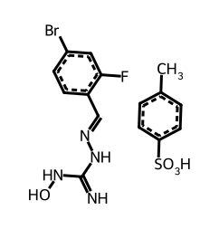 Cc1ccc(S(=O)(=O)O)cc1.N=C(NO)NN=Cc1ccc(Br)cc1F